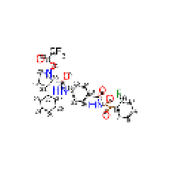 O=C(NS(=O)(=O)c1ccccc1F)c1ccc(NC(=O)[C@@H]2[C@H](C3CCCCC3)CCN2OC(=O)C(F)(F)F)cc1